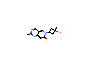 Cc1ncc2cn(C3CC(C)(O)C3)c(=O)cc2n1